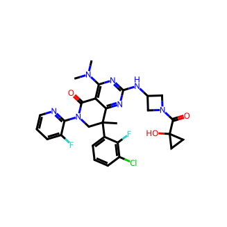 CN(C)c1nc(NC2CN(C(=O)C3(O)CC3)C2)nc2c1C(=O)N(c1ncccc1F)CC2(C)c1cccc(Cl)c1F